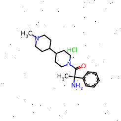 CN1CCC(C2CCN(C(=O)[C@@](C)(N)c3ccccc3)CC2)CC1.Cl